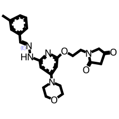 Cc1cccc(/C=N/Nc2cc(N3CCOCC3)cc(OCCN3CC(=O)CC3=O)n2)c1